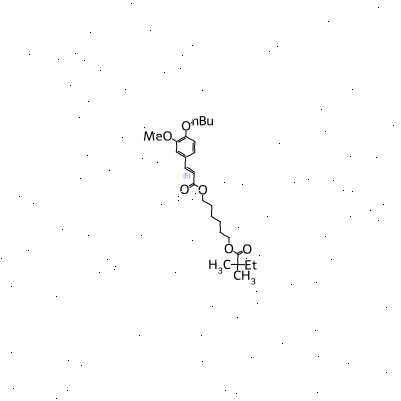 CCCCOc1ccc(/C=C/C(=O)OCCCCCCOC(=O)C(C)(C)CC)cc1OC